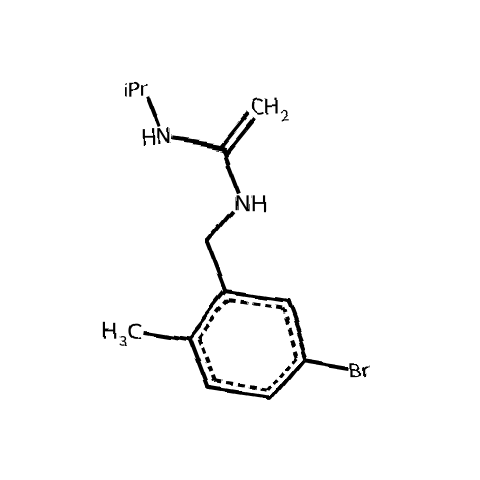 C=C(NCc1cc(Br)ccc1C)NC(C)C